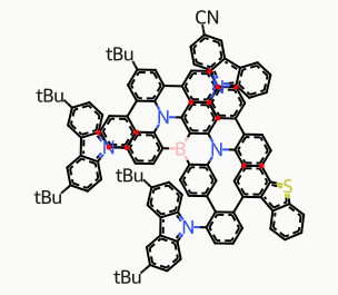 CC(C)(C)c1cc(-c2ccccc2)c(N2c3cc(-n4c5ccc(C(C)(C)C)cc5c5cc(C(C)(C)C)ccc54)ccc3B3c4ccc(-c5c(-c6cccc7sc8ccccc8c67)cccc5-n5c6ccc(C(C)(C)C)cc6c6cc(C(C)(C)C)ccc65)cc4N(c4ccccc4-c4ccccc4)c4cc(-n5c6ccccc6c6cc(C#N)ccc65)cc2c43)c(-c2ccccc2)c1